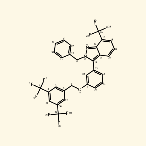 FC(F)(F)c1cc(COc2cccc(-c3c4cccc(C(F)(F)F)c4nn3Cc3ccccc3)c2)cc(C(F)(F)F)c1